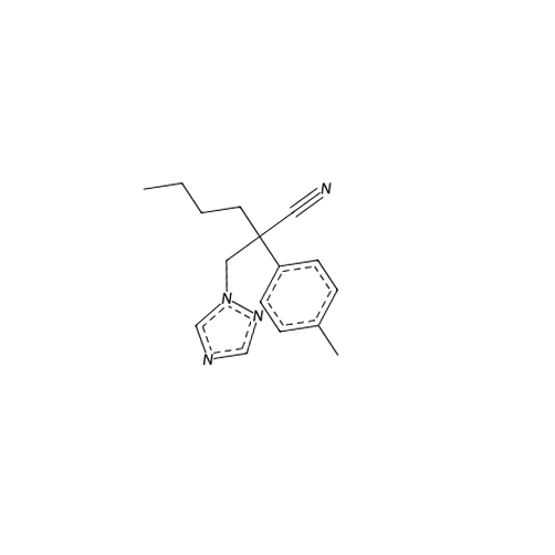 CCCCC(C#N)(Cn1cncn1)c1ccc(C)cc1